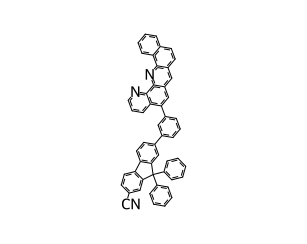 N#Cc1ccc2c(c1)C(c1ccccc1)(c1ccccc1)c1cc(-c3cccc(-c4cc5cc6ccc7ccccc7c6nc5c5ncccc45)c3)ccc1-2